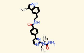 C[N+](C)(C(N)=O)c1nccc(-c2ccc(C(=O)NCCc3ccc4[nH]cc(C#N)c4c3)cc2)n1